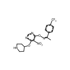 CC(=NOc1ncnc(OC2CCNCC2)c1[N+](=O)[O-])c1ccc(C(F)(F)F)cc1